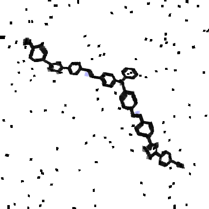 CC(C)(C)c1ccc(-c2nnc(-c3ccc(/C=C/c4ccc(N(c5ccccc5)c5ccc(/C=C/c6ccc(-c7nnc(-c8ccc(C(C)(C)C)cc8)o7)cc6)cc5)cc4)cc3)o2)cc1